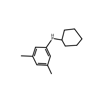 Cc1cc(C)cc(P[C]2CCCCC2)c1